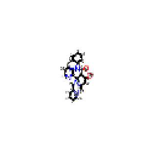 Cc1ccccc1NC(=O)c1c(-c2ccccn2)n(Cc2ccccn2)c(C)cc1=O